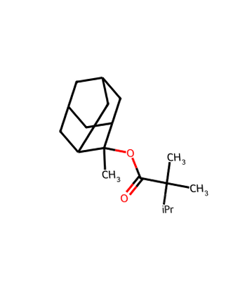 CC(C)C(C)(C)C(=O)OC1(C)C2CC3CC(C2)CC1C3